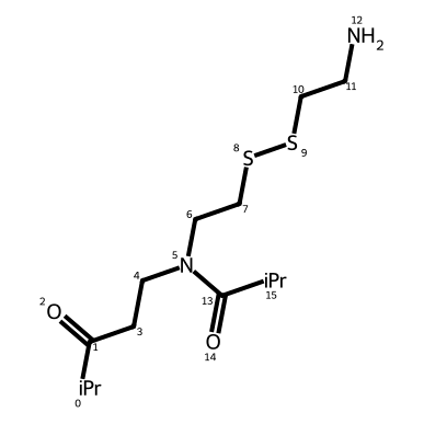 CC(C)C(=O)CCN(CCSSCCN)C(=O)C(C)C